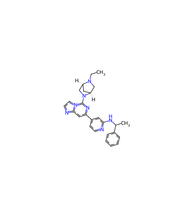 CCN1C[C@@H]2C[C@H]1CN2c1nc(-c2ccnc(NC(C)c3ccccc3)c2)cc2nccn12